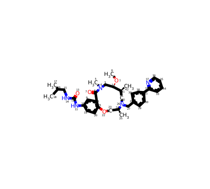 CO[C@H]1CN(C)C(=O)c2cc(NC(=O)NCC(C)C)ccc2OC[C@H](C)N(Cc2ccc(-c3ccccn3)cc2)C[C@@H]1C